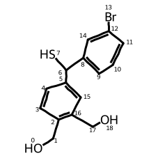 OCc1ccc(C(S)c2cccc(Br)c2)cc1CO